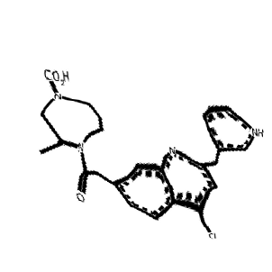 CC1CN(C(=O)O)CCN1C(=O)c1ccc2c(Cl)cc(-c3cc[nH]c3)nc2c1